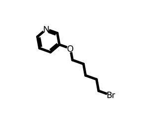 BrCCCCCOc1cccnc1